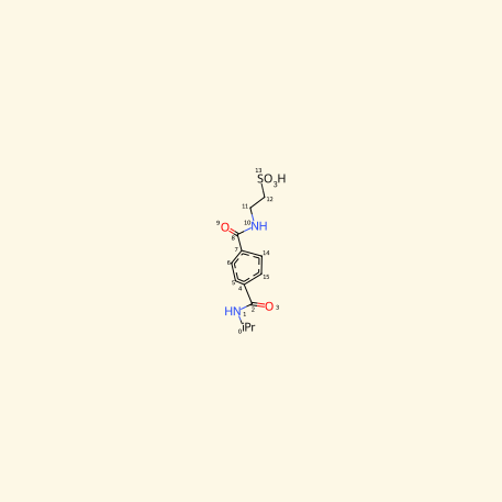 CC(C)NC(=O)c1ccc(C(=O)NCCS(=O)(=O)O)cc1